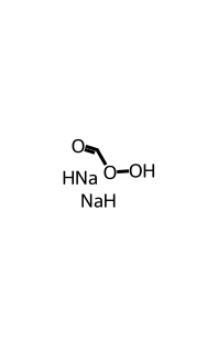 O=COO.[NaH].[NaH]